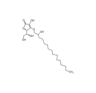 CCCCCCCCCCCCCCC(O)COC1=C(O)C(=O)O[C@@H]1[C@@H](O)CO